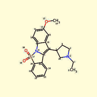 CCN1CCC(c2c3n(c4ccc(OC)cc24)S(=O)(=O)c2ccccc2-3)C1